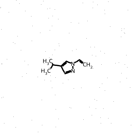 C=Cn1cc(C(C)C)cn1